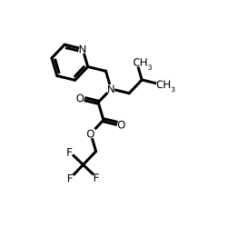 CC(C)CN(Cc1ccccn1)C(=O)C(=O)OCC(F)(F)F